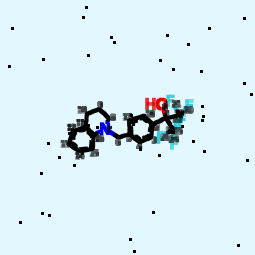 OC(c1ccc(CN2CCCc3ccccc32)cc1)(C(F)(F)F)C(F)(F)F